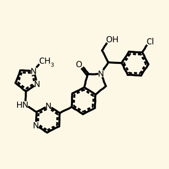 Cn1ccc(Nc2nccc(-c3ccc4c(c3)C(=O)N(C(CO)c3cccc(Cl)c3)C4)n2)n1